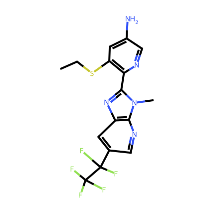 CCSc1cc(N)cnc1-c1nc2cc(C(F)(F)C(F)(F)F)cnc2n1C